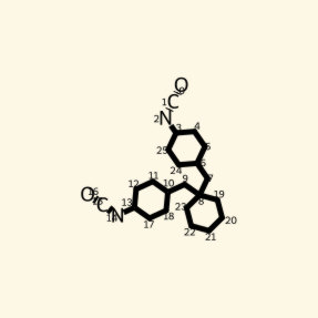 O=C=NC1CCC(CC2(CC3CCC(N=C=O)CC3)CCCCC2)CC1